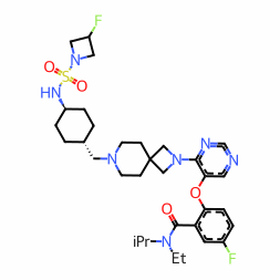 CCN(C(=O)c1cc(F)ccc1Oc1cncnc1N1CC2(CCN(C[C@H]3CC[C@H](NS(=O)(=O)N4CC(F)C4)CC3)CC2)C1)C(C)C